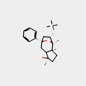 CC(C)(C)[Si](C)(C)O[C@@H]1C[C@]2(c3ccccc3)O[C@@]1(C)[C@@H]1CC[C@]3(C)O[C@]13[C@@H]2O